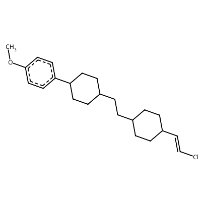 COc1ccc(C2CCC(CCC3CCC(/C=C/Cl)CC3)CC2)cc1